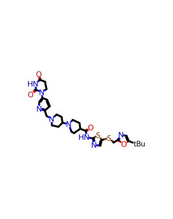 CC(C)(C)c1cnc(CSc2cnc(NC(=O)C3CCN(C4CCN(Cc5ccc(N6CCC(=O)NC6=O)cn5)CC4)CC3)s2)o1